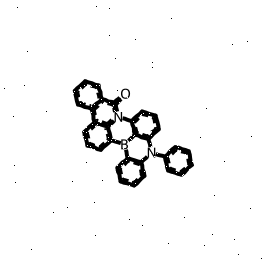 O=c1c2ccccc2c2cccc3c2n1-c1cccc2c1B3c1ccccc1N2c1ccccc1